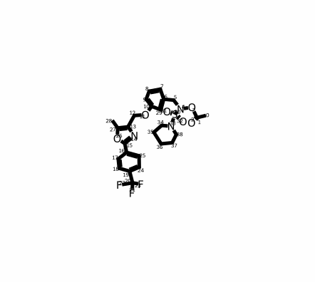 CC(=O)ON(Cc1cccc(OCc2nc(-c3ccc(C(F)(F)F)cc3)oc2C)c1)S(=O)(=O)N1CCCCC1